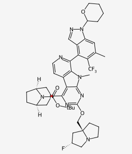 Cc1cc2c(cnn2C2CCCCO2)c(-c2nccc3c4c(N5C[C@H]6CC[C@@H](C5)N6C(=O)OC(C)(C)C)nc(OC[C@@]56CCCN5C[C@H](F)C6)nc4n(C)c23)c1C(F)(F)F